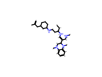 C=C(C)CC1CCCC(NCCC(CC)N/C=C(\CNC)C2CN(C)c3ccccc3N2C)C1